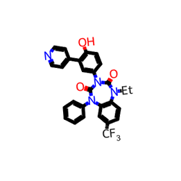 CCN1C(=O)N(c2ccc(O)c(-c3ccncc3)c2)C(=O)N(c2ccccc2)c2cc(C(F)(F)F)ccc21